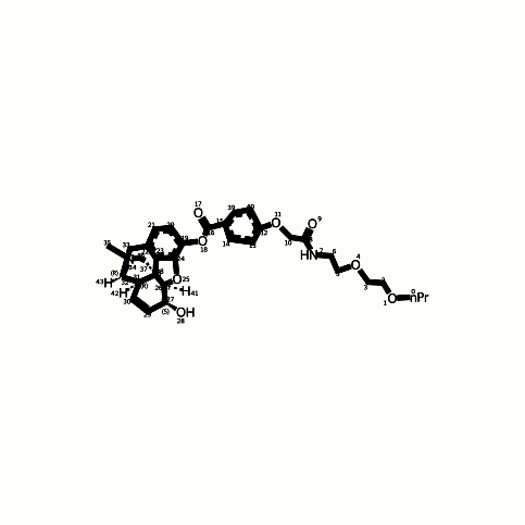 CCCOCCOCCNC(=O)COc1ccc(C(=O)Oc2ccc3c4c2O[C@H]2[C@@H](O)C=C[C@H]5[C@@H](C3)N(C)CC[C@@]452)cc1